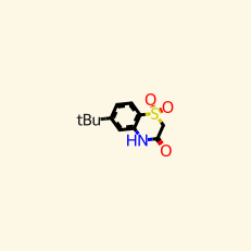 CC(C)(C)c1ccc2c(c1)NC(=O)CS2(=O)=O